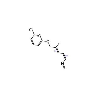 C=N/C=C\C=C(/C)COc1cccc(Cl)n1